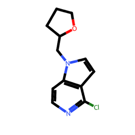 Clc1nccc2c1ccn2CC1CCCO1